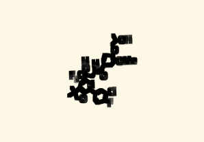 COc1cc(C(=O)NCC(O)(c2cc3c(c(-c4ccc(F)c(Cl)c4)n2)OCC3(C)C)C(F)(F)F)ccc1OCC(C)O